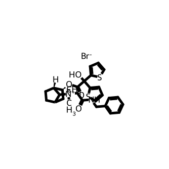 C[N+](C)(CC(=O)NCc1ccccc1)C1C2CC[C@@H]1[C@H](OC(=O)C(O)(c1cccs1)c1cccs1)C2.[Br-]